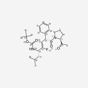 CC(=O)[C@@H]1CCCN1C(=O)[C@H](/C=C(\F)[C@H](CC(C)C)NC(=O)OC(C)(C)C)c1ccccc1